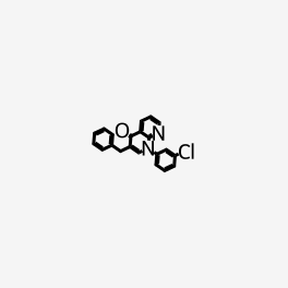 O=c1c(Cc2ccccc2)cn(-c2cccc(Cl)c2)c2ncccc12